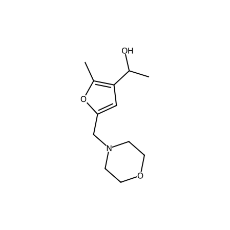 Cc1oc(CN2CCOCC2)cc1C(C)O